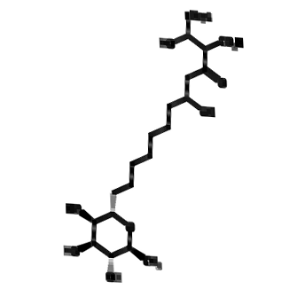 CCCCCCCC(O)C(C(=O)O)C(=O)CC(O)CCCCCCC[C@@H]1O[C@@H](C)[C@H](O)[C@@H](O)[C@H]1O